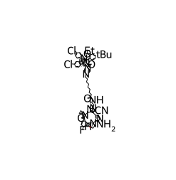 CCOc1cc(C(C)(C)C)ccc1C1=N[C@]2(c3ccc(Cl)cc3)c3cc(Cl)ccc3[C@@]2(C)N1C(=O)N1CCN(CCCCCCCCC(=O)NCCn2nc3c(c2C#N)-c2cnc(N)c(c2)N2CCC[C@@H]2c2cc(F)ccc2C(=O)N(C2CC2)C3)CC1